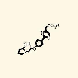 CC1CCCN1CCOc1ccc(-c2nc(CC(=O)O)co2)cc1